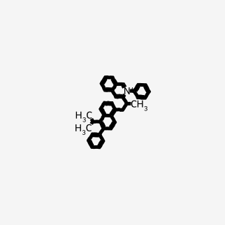 CC(C)c1c(-c2ccccc2)ccc2c(CC(C)c3cc4ccccc4c[n+]3-c3ccccc3)cccc12